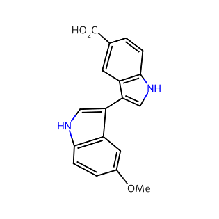 COc1ccc2[nH]cc(-c3c[nH]c4ccc(C(=O)O)cc34)c2c1